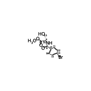 COC(=O)[C@H](CO)NC(=O)c1ccc(Br)cc1